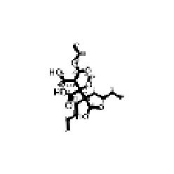 CCCCC(CCCC)(C(=O)O)C(OC)(C(=O)O)C(C(=O)O)C(=O)OCC